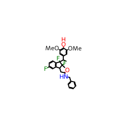 COc1cc(C(C)C2(F)c3ccc(F)cc3C(CC(=O)NCc3ccccc3)C2(C)F)cc(OC)c1O